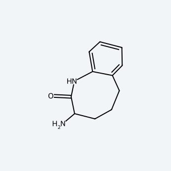 NC1CCCc2ccccc2NC1=O